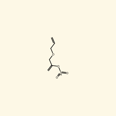 C=CCOCC(=C)O[SH](=O)=O